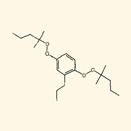 CCCc1cc(OOC(C)(C)CCC)ccc1OOC(C)(C)CCC